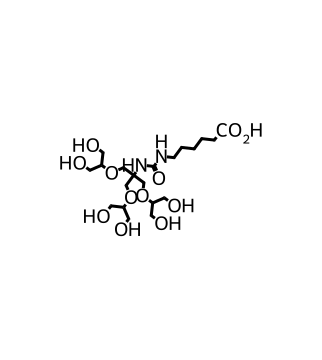 O=C(O)CCCCCNC(=O)NC(COC(CO)CO)(COC(CO)CO)COC(CO)CO